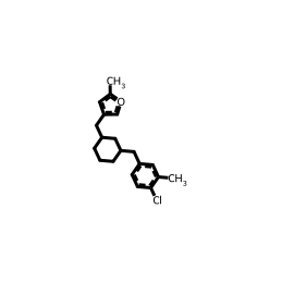 Cc1cc(CC2CCCC(Cc3ccc(Cl)c(C)c3)C2)co1